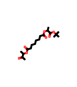 CC(=O)C(C)OC(=O)CCCCCCC(=O)OC(C)C(=O)OC(C)(C)C